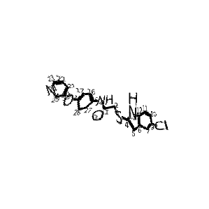 O=C(CSc1cc2cc(Cl)ccc2[nH]1)NC1=CC=C(Oc2cccnc2)CC1